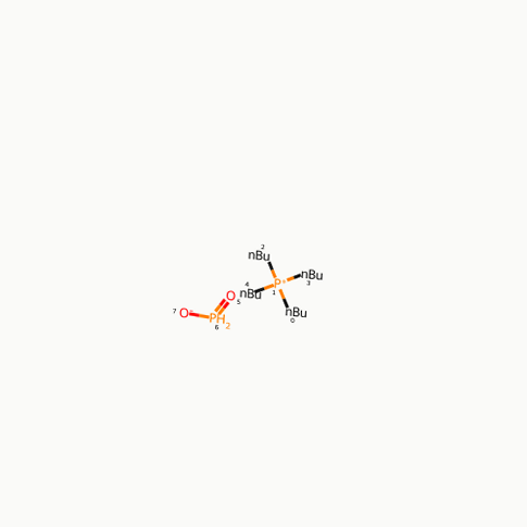 CCCC[P+](CCCC)(CCCC)CCCC.O=[PH2][O-]